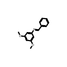 COc1cc(N=Cc2ccccc2)cc(OC)c1